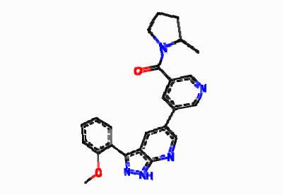 COc1ccccc1-c1n[nH]c2ncc(-c3cncc(C(=O)N4CCCC4C)c3)cc12